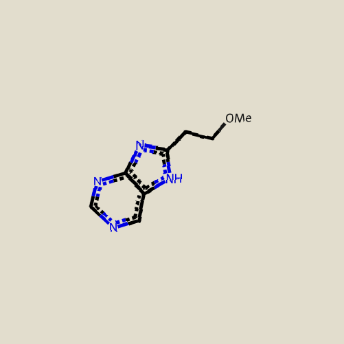 COCCc1nc2ncncc2[nH]1